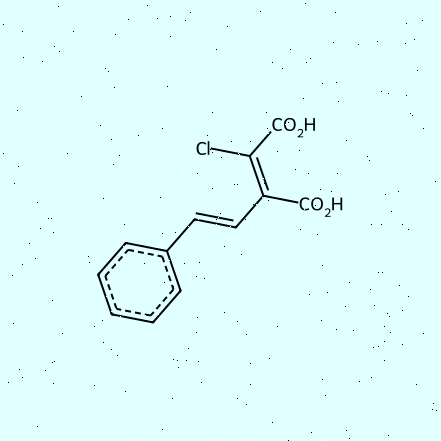 O=C(O)C(Cl)=C(C=Cc1ccccc1)C(=O)O